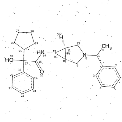 CC(c1ccccc1)N1CC2[C@H](C1)[C@H]2NC(=O)C(O)(c1ccccc1)C1CCCC1